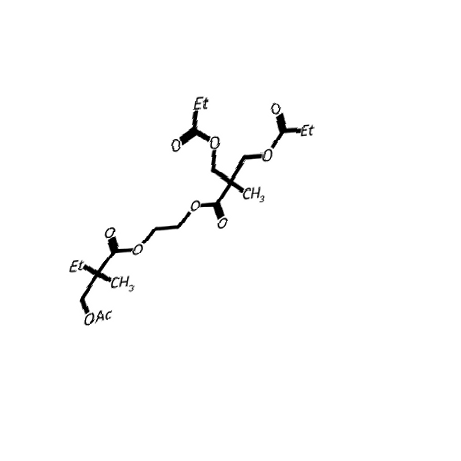 CCC(=O)OCC(C)(COC(=O)CC)C(=O)OCCOC(=O)C(C)(CC)COC(C)=O